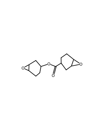 O=C(OC1CCC2OC2C1)[C]1CCC2OC2C1